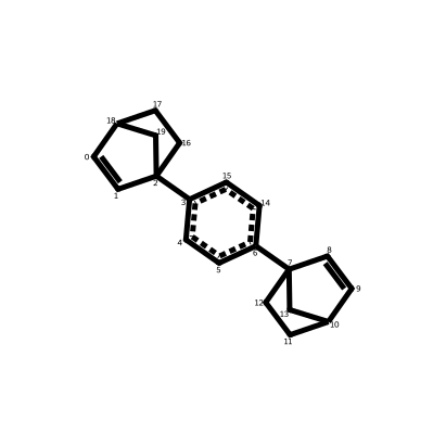 C1=CC2(c3ccc(C45C=CC(CC4)C5)cc3)CCC1C2